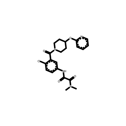 CN(C)C(=O)C(=O)Nc1ccc(Cl)c(C(=O)N2CCC(Oc3ccccn3)CC2)c1